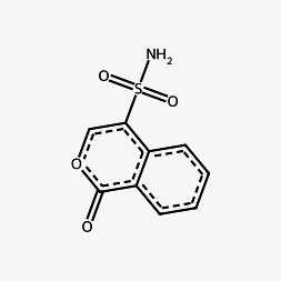 NS(=O)(=O)c1coc(=O)c2ccccc12